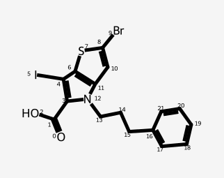 O=C(O)c1c(I)c2sc(Br)cc2n1CCCc1ccccc1